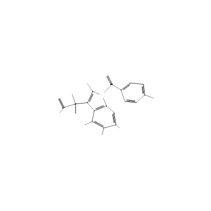 Cc1c(C(C)(C)C(=O)O)c2c(F)c(O)c(F)cc2n1C(=O)c1ccc(Cl)cc1